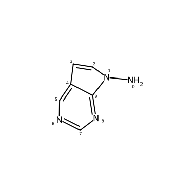 Nn1ccc2cncnc21